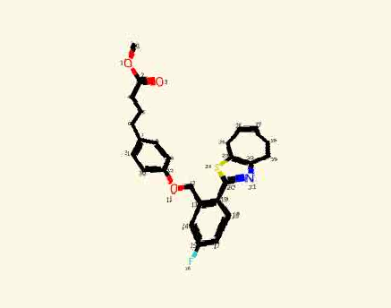 COC(=O)CCCc1ccc(OCc2cc(F)ccc2-c2nc3c(s2)CCCCC3)cc1